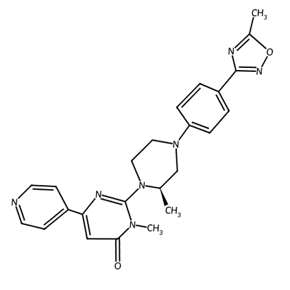 Cc1nc(-c2ccc(N3CCN(c4nc(-c5ccncc5)cc(=O)n4C)[C@H](C)C3)cc2)no1